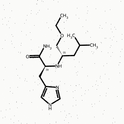 CCOC[C@H](CC(C)C)N[C@@H](Cc1c[nH]cn1)C(N)=O